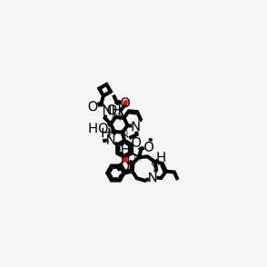 CCC1=C[C@@H]2CN(CCc3c([nH]c4ccccc34)[C@@](C(=O)OC)(c3cc4c(cc3OC)N(C)[C@H]3C(O)(CNC(=O)C5CCC5)[C@H](OC(C)=O)[C@]5(CC)C=CCN6CC[C@]43C65)C2)C1